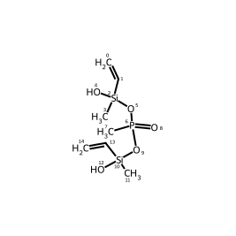 C=C[Si](C)(O)OP(C)(=O)O[Si](C)(O)C=C